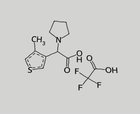 Cc1cscc1C(C(=O)O)N1CCCC1.O=C(O)C(F)(F)F